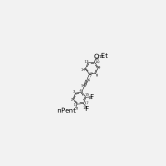 CCCCCc1ccc(C#Cc2ccc(OCC)cc2)c(F)c1F